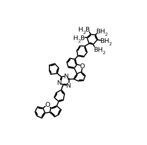 Bc1c(B)c(B)c(-c2ccc(-c3cccc4c3oc3cccc(-c5nc(-c6ccccc6)nc(-c6ccc(-c7cccc8c7oc7ccccc78)cc6)n5)c34)cc2)c(B)c1B